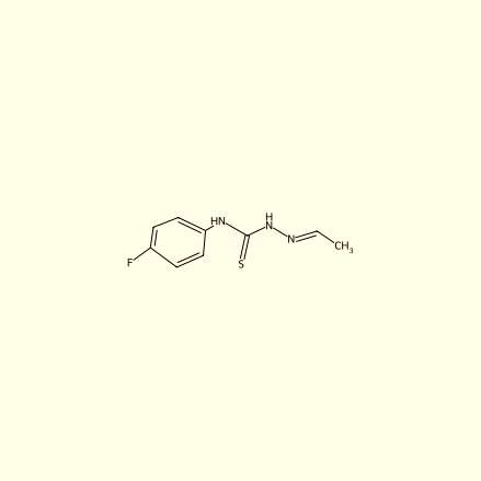 CC=NNC(=S)Nc1ccc(F)cc1